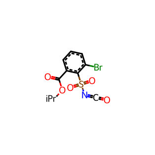 CC(C)OC(=O)c1cccc(Br)c1S(=O)(=O)N=C=O